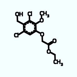 CCOC(=O)COc1cc(Cl)c(CO)c(Cl)c1OC